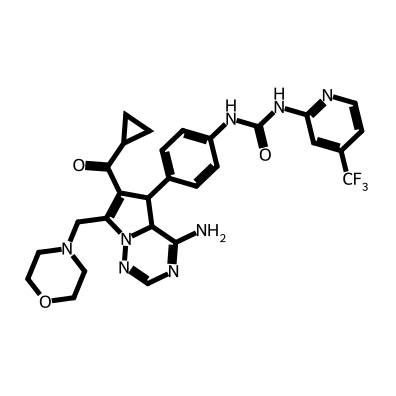 NC1=NC=NN2C(CN3CCOCC3)=C(C(=O)C3CC3)C(c3ccc(NC(=O)Nc4cc(C(F)(F)F)ccn4)cc3)C12